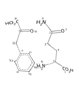 NC(=O)CCC(N)C(=O)O.O=C(O)C(=O)Cc1ccccc1